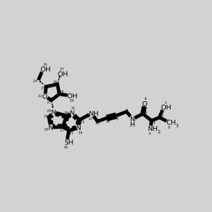 CC(O)C(N)C(=O)NCC#CCNc1nc(S)c2ncn([C@@H]3O[C@H](CO)[C@H](O)C3O)c2n1